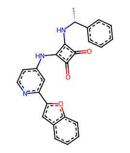 C[C@@H](Nc1c(Nc2ccnc(-c3cc4ccccc4o3)c2)c(=O)c1=O)c1ccccc1